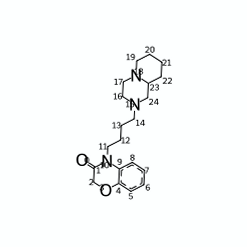 O=C1COc2ccccc2N1CCCCN1CCN2CCCCC2C1